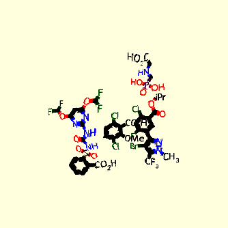 CC(C)OC(=O)c1cc(-c2nn(C)c(C(F)(F)F)c2Br)c(F)cc1Cl.COc1c(Cl)ccc(Cl)c1C(=O)O.O=C(Nc1nc(OC(F)F)cc(OC(F)F)n1)NS(=O)(=O)c1ccccc1C(=O)O.O=C(O)CNCP(=O)(O)O